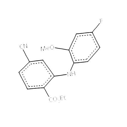 CCOC(=O)c1ccc(C#N)cc1Nc1ccc(F)cc1OC